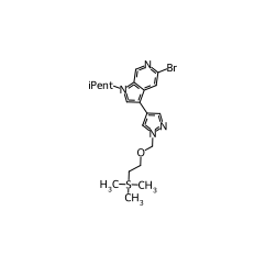 CCCC(C)n1cc(-c2cnn(COCCS(C)(C)C)c2)c2cc(Br)ncc21